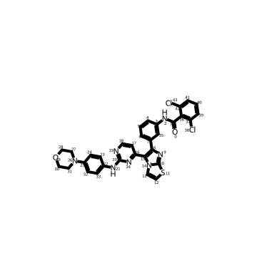 O=C(Nc1cccc(-c2nc3sccn3c2-c2ccnc(Nc3ccc(N4CCOCC4)cc3)n2)c1)c1c(Cl)cccc1Cl